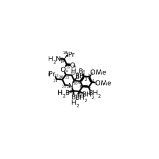 Bc1c(OC)c(OC)c(B)c2c1C1(B)CC(OC(=O)[C@@H](N)C(C)C)C(CC(C)C)CN1C(B)(B)C2(B)B